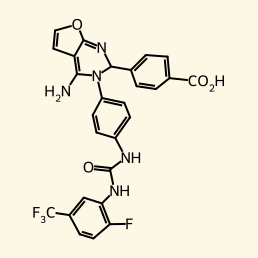 NC1=c2ccoc2=NC(c2ccc(C(=O)O)cc2)N1c1ccc(NC(=O)Nc2cc(C(F)(F)F)ccc2F)cc1